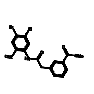 COC(=O)c1cccc(CC(=O)Nc2cc(Cl)c(Br)cc2C=O)c1